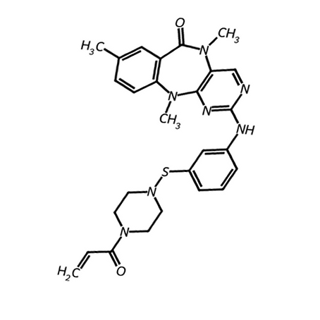 C=CC(=O)N1CCN(Sc2cccc(Nc3ncc4c(n3)N(C)c3ccc(C)cc3C(=O)N4C)c2)CC1